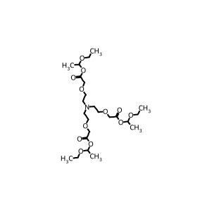 CCOC(C)OC(=O)COCCN(CCOCC(=O)OC(C)OCC)CCOCC(=O)OC(C)OCC